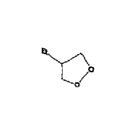 CCC1COOC1